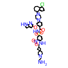 NCCN1CCC2(CC1)CC(CNc1ccc(S(=O)(=O)NC(=O)c3ccc(N4CCN([C@@H]5CCCCc6c(Cl)cccc65)CC4)cc3Oc3cnc4[nH]ccc4c3)cc1[N+](=O)[O-])C2